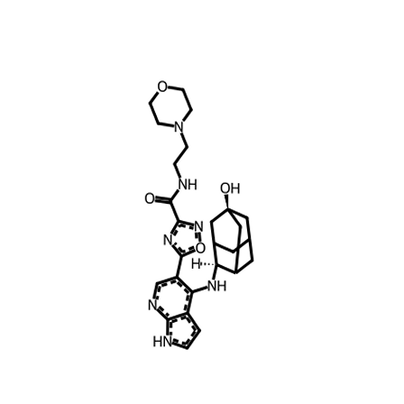 O=C(NCCN1CCOCC1)c1noc(-c2cnc3[nH]ccc3c2N[C@H]2C3CC4CC2C[C@@](O)(C4)C3)n1